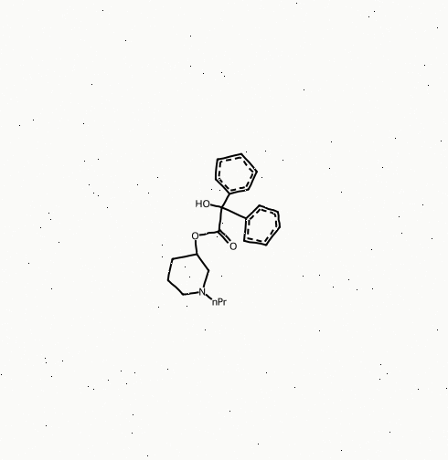 CCCN1CCCC(OC(=O)C(O)(c2ccccc2)c2ccccc2)C1